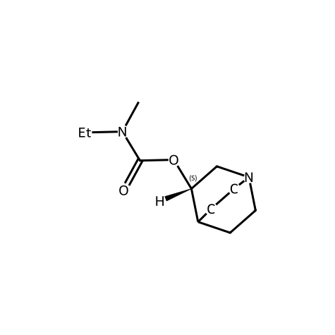 CCN(C)C(=O)O[C@@H]1CN2CCC1CC2